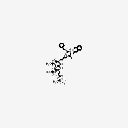 CC(C)(C)OC(=O)CC[C@H](NC(=O)N[C@@H](CCCCNC(=O)[C@H](Cc1cc2ccccc2cn1)NC(=O)OCc1ccccc1)C(=O)OC(C)(C)C)C(=O)OC(C)(C)C